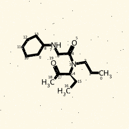 CCCN(C(=O)CNC1CCCCC1)[C@@H](CC)C(C)=O